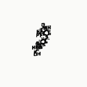 O=c1cc(C(F)(F)F)c2cc(Cc3ccc(S(=O)(=O)NCCO)cc3)ccc2[nH]1